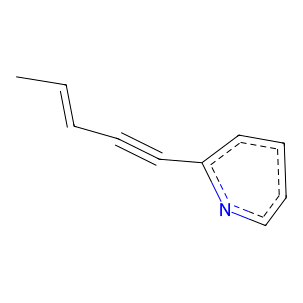 CC=CC#Cc1ccccn1